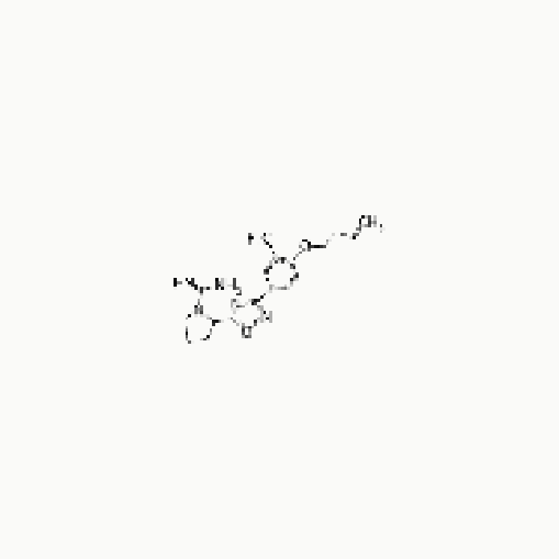 C=CCCOc1ccc(-c2noc(C3CCCN3C(=N)N)n2)cc1C(F)(F)F